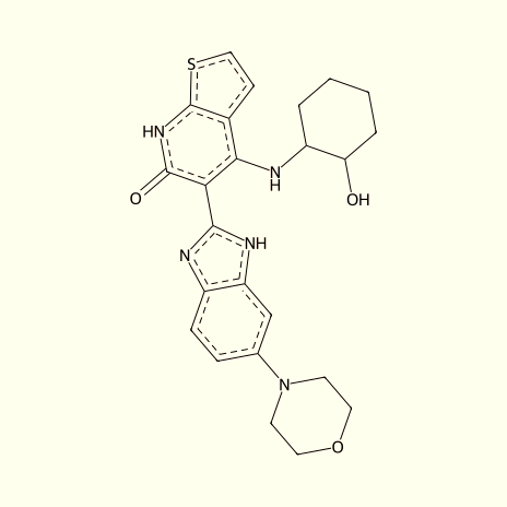 O=c1[nH]c2sccc2c(NC2CCCCC2O)c1-c1nc2ccc(N3CCOCC3)cc2[nH]1